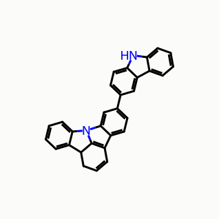 C1=Cc2c3n(c4cc(-c5ccc6[nH]c7ccccc7c6c5)ccc24)-c2ccccc2C3C1